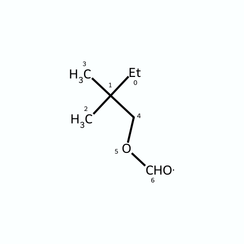 CCC(C)(C)CO[C]=O